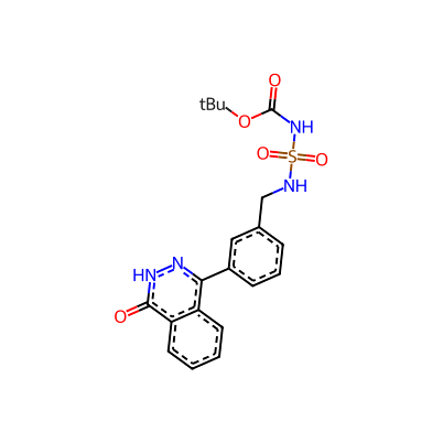 CC(C)(C)OC(=O)NS(=O)(=O)NCc1cccc(-c2n[nH]c(=O)c3ccccc23)c1